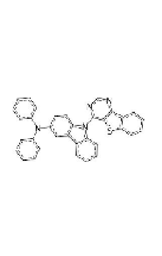 c1ccc(N(c2ccccc2)c2ccc3c(c2)c2ccccc2n3-c2ncnc3c2sc2ccccc23)cc1